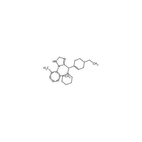 CCC1CC=C(C(C2=NCNN2c2c(C)cccc2C)N2CCCCC2)CC1